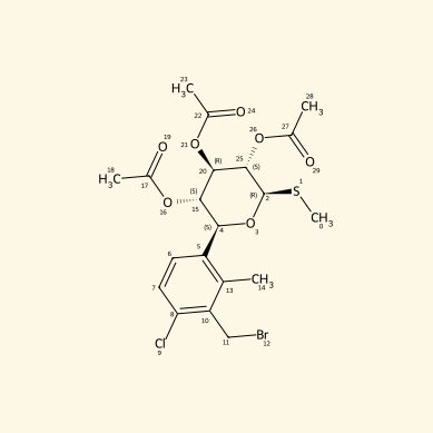 CS[C@H]1O[C@@H](c2ccc(Cl)c(CBr)c2C)[C@H](OC(C)=O)[C@@H](OC(C)=O)[C@@H]1OC(C)=O